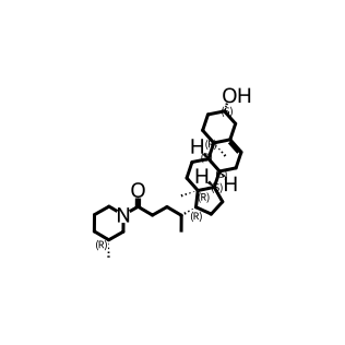 CC(CCC(=O)N1CCC[C@@H](C)C1)[C@H]1CC[C@H]2[C@@H]3CC=C4C[C@@H](O)CC[C@]4(C)[C@H]3CC[C@]12C